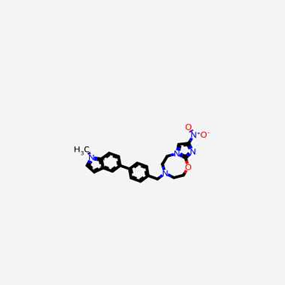 Cn1ccc2cc(-c3ccc(CN4CCOc5nc([N+](=O)[O-])cn5CC4)cc3)ccc21